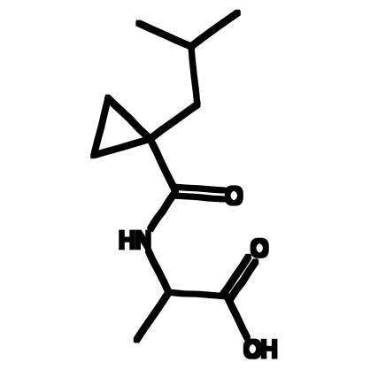 CC(C)CC1(C(=O)NC(C)C(=O)O)CC1